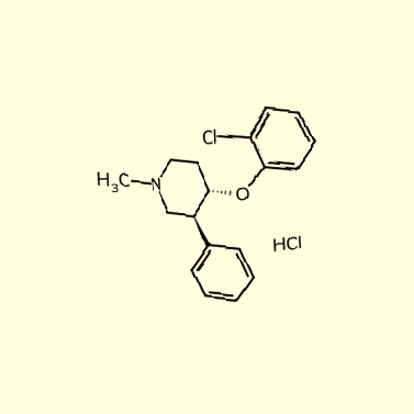 CN1CC[C@H](Oc2ccccc2Cl)[C@@H](c2ccccc2)C1.Cl